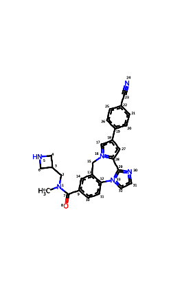 CN(CC1CNC1)C(=O)c1ccc2c(c1)Cn1cc(-c3ccc(C#N)cc3)cc1-c1nccn1-2